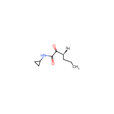 [2H][C@@H](CCC)C(=O)C(=O)NC1CC1